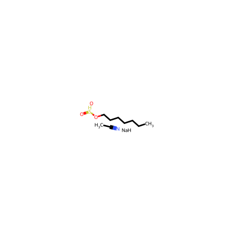 CC#N.CCCCCCCO[SH](=O)=O.[NaH]